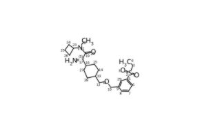 CCS(=O)(=O)c1cccc(COCC2CCC([C@H](N)C(=O)N(C)C3CCC3)CC2)c1